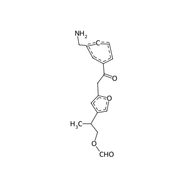 CC(COC=O)c1coc(CC(=O)c2cccc(CN)c2)c1